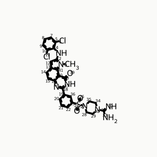 Cn1c(Nc2c(Cl)cccc2Cl)cc2ccc3nc(-c4cccc(S(=O)(=O)N5CCN(C(=N)N)CC5)c4)[nH]c(=O)c3c21